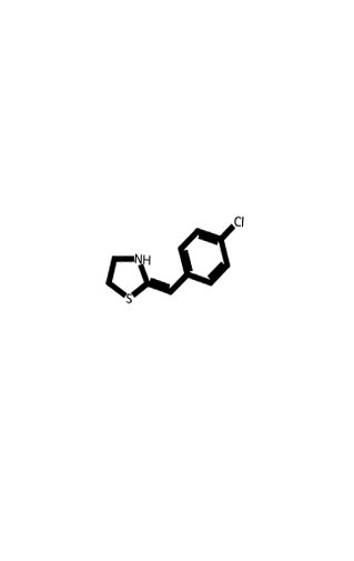 Clc1ccc(/C=C2\NCCS2)cc1